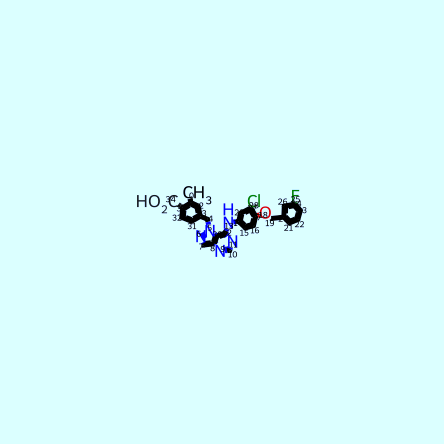 Cc1cc(Cn2ncc3ncnc(Nc4ccc(OCc5cccc(F)c5)c(Cl)c4)c32)ccc1C(=O)O